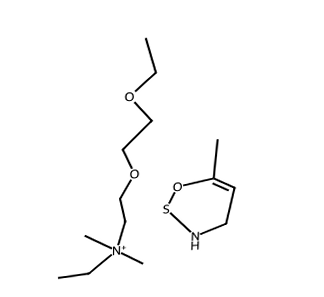 CC1=CCNSO1.CCOCCOCC[N+](C)(C)CC